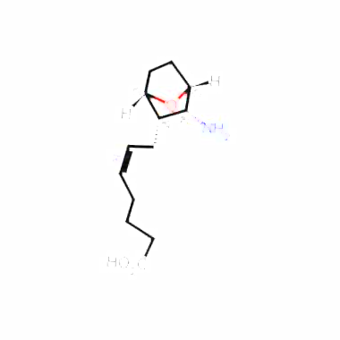 N[C@@H]1[C@H](C/C=C\CCCC(=O)O)[C@@H]2CC[C@H]1O2